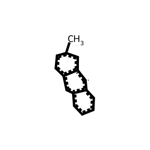 Cc1ccc2cc3ccccc3[c]c2c1